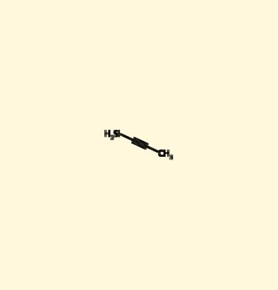 CC#C[SiH3]